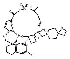 CO[C@]1(CN2CCC3(CCO3)CC2)/C=C/C[C@H](C)[C@@H](C)S(=O)(=O)NC(=O)c2ccc3c(c2)N(C[C@@H]2CC[C@H]21)C[C@@]1(CCCc2cc(Cl)ccc21)CO3